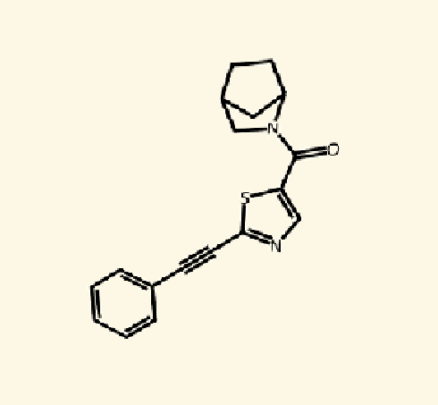 O=C(c1cnc(C#Cc2ccccc2)s1)N1CC2CCC1C2